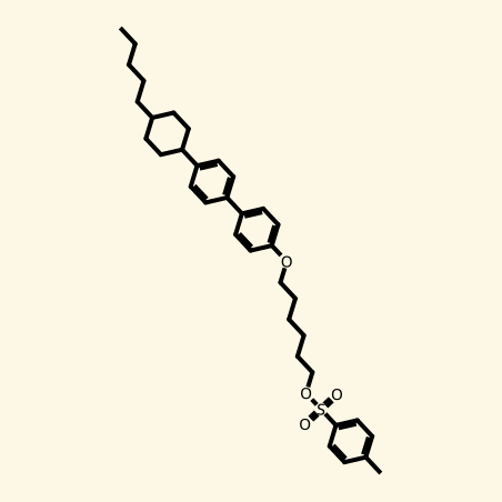 CCCCCC1CCC(c2ccc(-c3ccc(OCCCCCCOS(=O)(=O)c4ccc(C)cc4)cc3)cc2)CC1